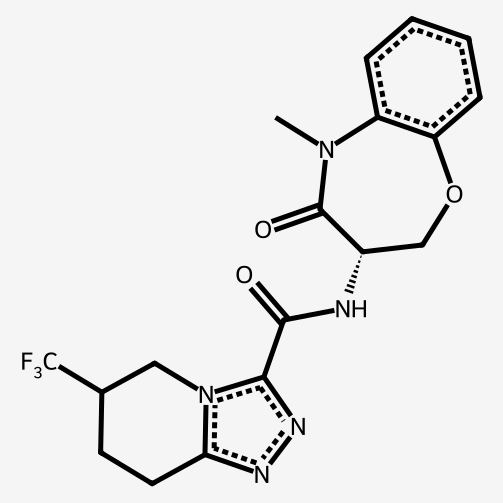 CN1C(=O)[C@@H](NC(=O)c2nnc3n2CC(C(F)(F)F)CC3)COc2ccccc21